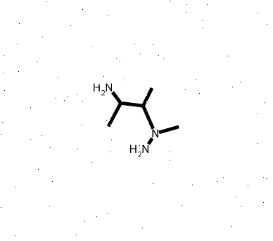 CC(N)C(C)N(C)N